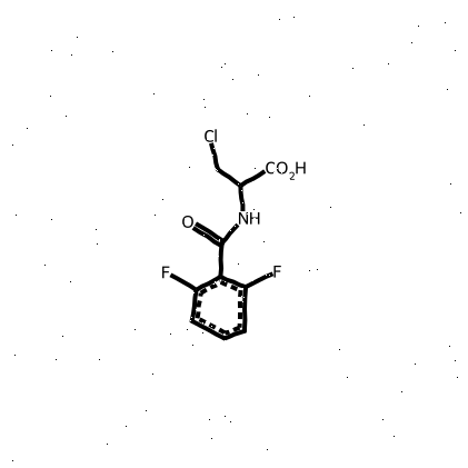 O=C(NC(CCl)C(=O)O)c1c(F)cccc1F